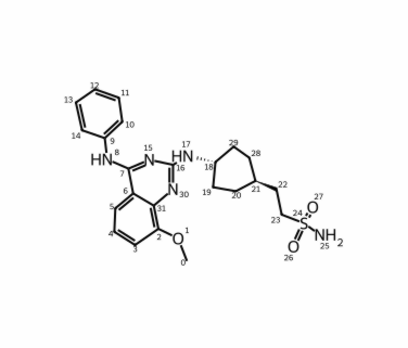 COc1cccc2c(Nc3ccccc3)nc(N[C@H]3CC[C@H](CCS(N)(=O)=O)CC3)nc12